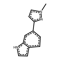 Cn1c[c]c(-c2ccc3cc[nH]c3c2)n1